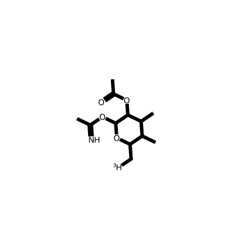 [3H]CC1OC(OC(C)=N)C(OC(C)=O)C(C)C1C